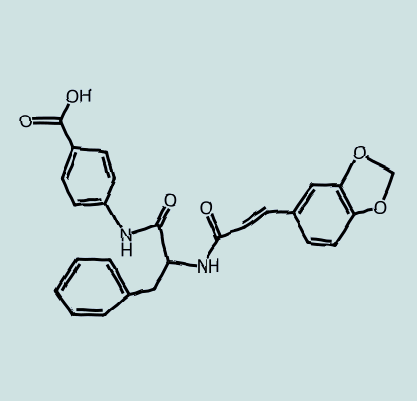 O=C(/C=C/c1ccc2c(c1)OCO2)NC(Cc1ccccc1)C(=O)Nc1ccc(C(=O)O)cc1